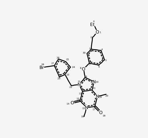 CCOCc1cccc(Oc2nc3c(c(=O)n(C)c(=O)n3C)n2Cc2cccc(Br)c2)c1